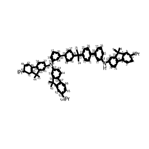 CC(C)c1ccc2c(c1)C(C)(C)c1cc(Nc3cccc(-c4ccc(C(C)(C)c5ccc(-c6cccc(N(c7ccc8c(c7)C(C)(C)C7=C8C=CC(C(C)C)C7)c7ccc8c(c7)C(C)(C)c7cc(C(C)C)ccc7-8)c6)cc5)cc4)c3)ccc1-2